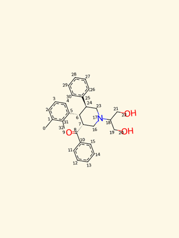 Cc1cccc([C@H]2[C@@H](C(=O)c3ccccc3)CN(C(CO)CO)C[C@@H]2c2[c]cccc2)c1C